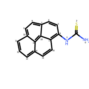 NC(=S)Nc1ccc2ccc3cccc4ccc1c2c34